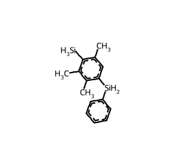 Cc1cc([SiH2]c2ccccc2)c(C)c(C)c1[SiH3]